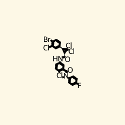 CN(C(=O)c1cc(NC(=O)[C@@H]2[C@@H](c3ccc(Br)c(Cl)c3)C2(Cl)Cl)ccc1Cl)c1ccc(F)cc1